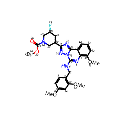 COc1ccc(CNc2nc3c(OC)cccc3c3nc(C4CC(F)CN(C(=O)OC(C)(C)C)C4)nn23)c(OC)c1